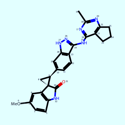 COc1ccc2c(c1)[C@]1(C[C@H]1c1ccc3c(Nc4nc(C)nc5c4CCC5)n[nH]c3c1)C(=O)N2